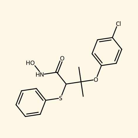 CC(C)(Oc1ccc(Cl)cc1)C(Sc1ccccc1)C(=O)NO